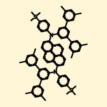 Cc1cc(C)cc(-c2cc(-c3cc(C)cc(C)c3)cc(N(c3ccc([Si](C)(C)C)cc3)c3ccc4ccc5c(N(c6ccc([Si](C)(C)C)cc6)c6cc(-c7cc(C)cc(C)c7)cc(-c7cc(C)cc(C)c7)c6)ccc6ccc3c4c65)c2)c1